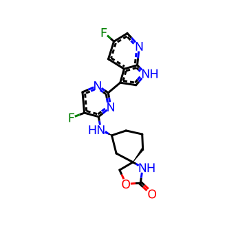 O=C1N[C@]2(CCC[C@H](Nc3nc(-c4c[nH]c5ncc(F)cc45)ncc3F)C2)CO1